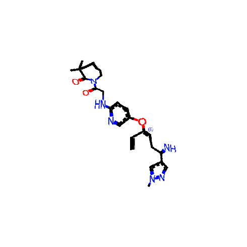 C=C/C(=C\CC(=N)c1cnn(C)c1)Oc1ccc(NCC(=O)N2CCCC(C)(C)C2=O)nc1